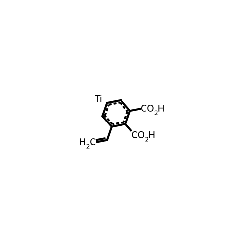 C=Cc1cccc(C(=O)O)c1C(=O)O.[Ti]